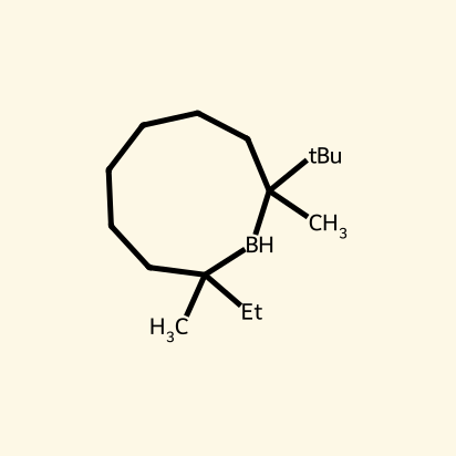 CCC1(C)BC(C)(C(C)(C)C)CCCCCC1